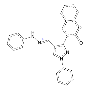 O=c1oc2ccccc2cc1-c1nn(-c2ccccc2)cc1/C=N/Nc1ccccc1